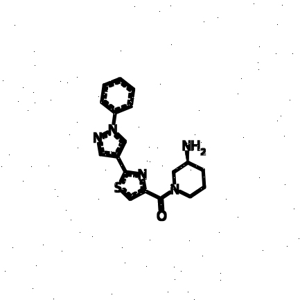 N[C@H]1CCCN(C(=O)c2csc(-c3cnn(-c4ccccc4)c3)n2)C1